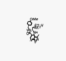 COc1ccc(CNC(=O)c2cnc3c(c(C)nn3C)c2NCCNC(=O)O)cc1